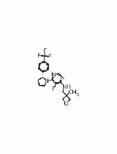 CC1(CNc2ncnc(N3CCC[C@@H]3c3ccc(C(F)(F)F)cc3)c2F)COC1